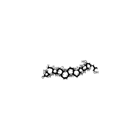 CC(CO)C[C@@H]1C[C@H](O)[C@@H]2O[C@@H]3C[C@]4(C)O[C@@H]5/C=C\C[C@@H]6O[C@H]7[C@H](C/C=C\C[C@H]6O[C@H]5CCC[C@H]4O[C@H]3C[C@H]2O1)O[C@@H]1C[C@@H]2O[C@@H]3CC(=O)O[C@H]3C[C@@H](C)C[C@@]2(C)O[C@H]1C[C@@H]7C